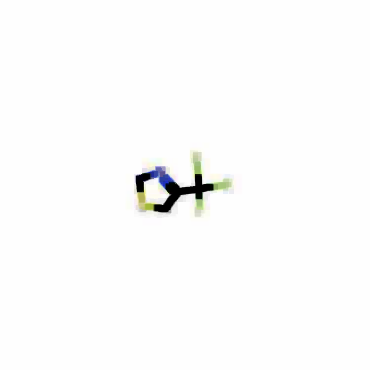 FC(F)(F)C1=NCS[C]1